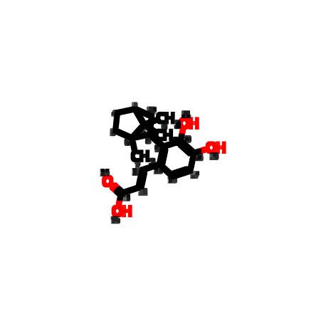 CC1(C)C2CCC1(C)C(c1c(C=CC(=O)O)ccc(O)c1O)C2